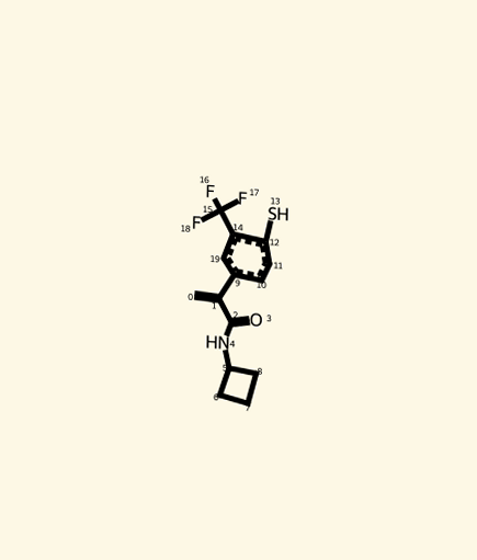 C=C(C(=O)NC1CCC1)c1ccc(S)c(C(F)(F)F)c1